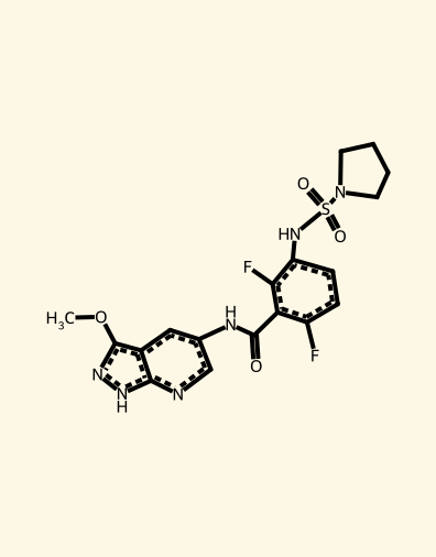 COc1n[nH]c2ncc(NC(=O)c3c(F)ccc(NS(=O)(=O)N4CCCC4)c3F)cc12